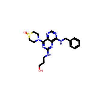 [O-][S+]1CCN(c2nc(NCCCO)nc3c(NCc4ccccc4)ncnc23)CC1